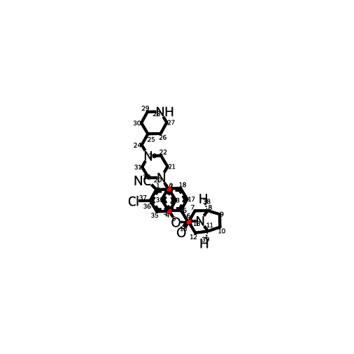 N#Cc1ccc(O[C@H]2C[C@H]3CC[C@@H](C2)N3C(=O)c2ccc(N3CCN(CC4CCNCC4)CC3)cc2)cc1Cl